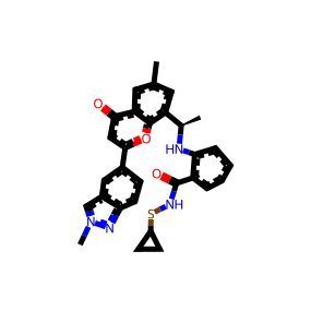 Cc1cc([C@@H](C)Nc2ccccc2C(=O)NSC2CC2)c2oc(-c3ccc4nn(C)cc4c3)cc(=O)c2c1